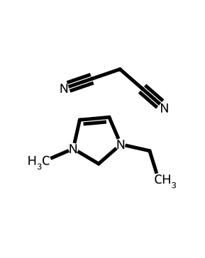 CCN1C=CN(C)C1.N#CCC#N